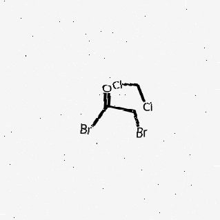 ClCCl.O=C(Br)CBr